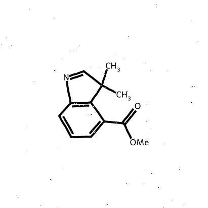 COC(=O)c1cccc2c1C(C)(C)C=N2